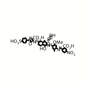 COc1cc(/N=N/c2ccc([N+](=O)[O-])cc2C(=O)O)c(C)cc1/N=N/c1c(SOOO)cc2cc(/N=N/C3C(=O)N(c4ccc(S(=O)(=O)O)cc4)N=C3C(=O)O)ccc2c1O